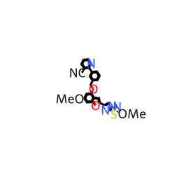 COc1cc(OCc2cccc(-c3ncccc3C#N)c2)c2cc(-c3cn4nc(OC)sc4n3)oc2c1